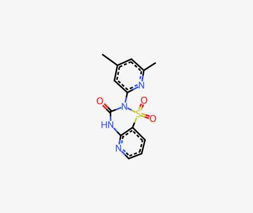 Cc1cc(C)nc(N2C(=O)Nc3ncccc3S2(=O)=O)c1